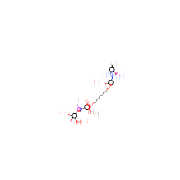 COc1cc(-c2cc(-c3cc(CO)c(CO)c(CO)c3)on2)cc(OC)c1OCCCCCCCCCOc1ccc(C2NC(=O)c3cc(C)ccc3N2)cc1CO